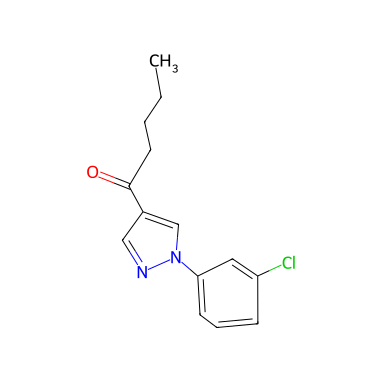 CCCCC(=O)c1cnn(-c2cccc(Cl)c2)c1